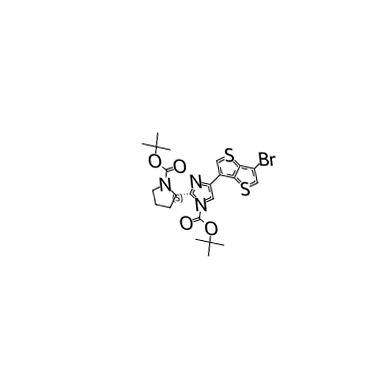 CC(C)(C)OC(=O)N1CCC[C@H]1c1nc(-c2csc3c(Br)csc23)cn1C(=O)OC(C)(C)C